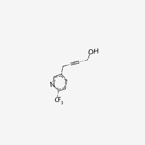 OCC#CCc1ccc(C(F)(F)F)nc1